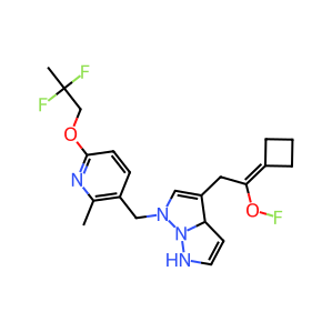 Cc1nc(OCC(C)(F)F)ccc1CN1C=C(CC(OF)=C2CCC2)C2C=CNN21